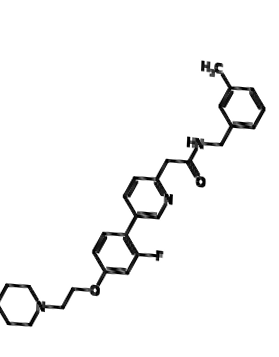 Cc1cccc(CNC(=O)Cc2ccc(-c3ccc(OCCN4CCCCC4)cc3F)cn2)c1